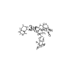 CC(C)C[C@H](NC(=O)C(=O)N[C@H]1CCCc2ccccc21)C(=O)N[C@@H](C[C@@H]1CCNC1=O)C(=O)COc1c(F)c(F)cc(F)c1F